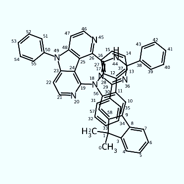 CC1(C)c2ccccc2-c2cc3c4ccccc4n(-c4nccc5c4c4c(C6=NC(c7ccccc7)=NC(c7ccccc7)N6)nccc4n5-c4ccccc4)c3cc21